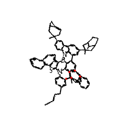 CCCCc1ccc(N2c3sc4c(ccc5ccccc54)c3B3c4c(cc5c(c42)C(C)(C)c2ccccc2-5)-c2cc(C4(C)CC5CCC(C4)C5C)cc4c5cc(C6(C)CC=C7CC7C6)ccc5n3c24)c(-c2ccccc2)c1